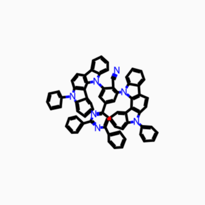 N#Cc1c(-n2c3ccccc3c3ccc4c(c5ccccc5n4-c4ccccc4)c32)cc(-c2cc(-c3ccccc3)nc(-c3ccccc3)n2)cc1-n1c2ccccc2c2ccc3c(c4ccccc4n3-c3ccccc3)c21